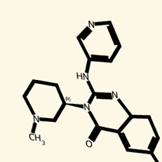 CN1CCC[C@@H](N2C(=O)C3=CC(F)=CCC3N=C2Nc2cccnc2)C1